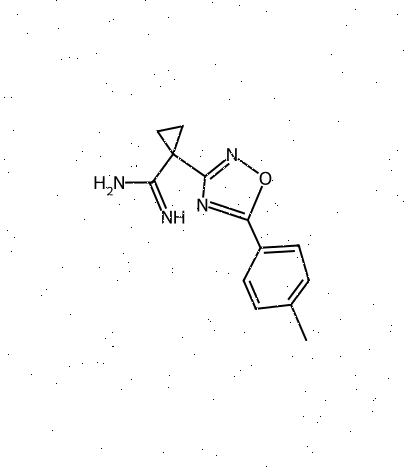 Cc1ccc(-c2nc(C3(C(=N)N)CC3)no2)cc1